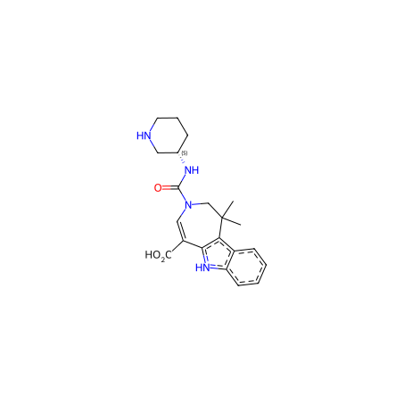 CC1(C)CN(C(=O)N[C@H]2CCCNC2)C=C(C(=O)O)c2[nH]c3ccccc3c21